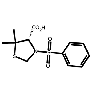 CC1(C)SCN(S(=O)(=O)c2ccccc2)[C@H]1C(=O)O